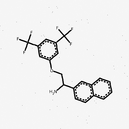 NC(COc1cc(C(F)(F)F)cc(C(F)(F)F)c1)c1ccc2ccccc2c1